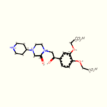 O=C(O)COc1ccc(C(=O)CN2CCN(C3CCNCC3)CC2=O)cc1OCC(=O)O